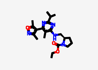 CCOC(=O)N1CCC[C@@H]1CNc1nc(C(C)C)nc(-c2c(C)noc2C)c1C